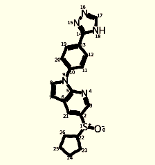 [O-][S+](c1cnc2c(ccn2-c2ccc(-c3nnc[nH]3)cc2)c1)C1CCCC1